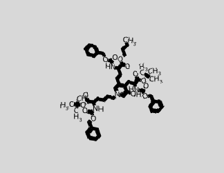 CCCCOC(=O)C(CCc1c[n+](CCCCC(NC(=O)OCc2ccccc2)C(=O)OC(C)(C)C)cc(O)c1CC(NC(=O)OCc1ccccc1)C(=O)OC(C)(C)C)NC(=O)OCc1ccccc1